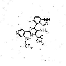 Cc1ccc2[nH]ncc2c1-c1nc(-c2ccncc2NCC(F)(F)F)nc(C(N)=O)c1N